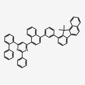 CC1(C)c2c(-c3cccc(-c4ccc(-c5cc(-c6ccccc6-c6ccccc6)nc(-c6ccccc6)n5)c5ccccc45)c3)cccc2-c2ccc3ccccc3c21